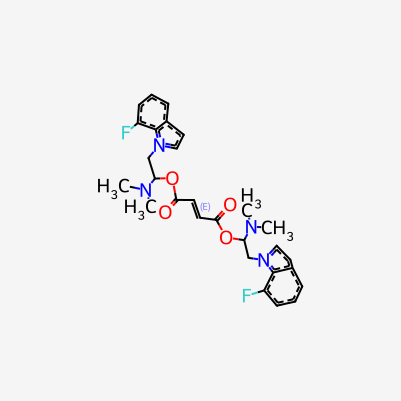 CN(C)C(Cn1ccc2cccc(F)c21)OC(=O)/C=C/C(=O)OC(Cn1ccc2cccc(F)c21)N(C)C